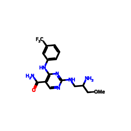 COCC(N)CNc1ncc(C(N)=O)c(Nc2cccc(C(F)(F)F)c2)n1